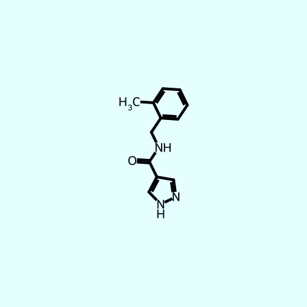 Cc1ccccc1CNC(=O)c1cn[nH]c1